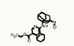 CCOC(=O)c1cnc(NC23CC4CC(CC(N=O)(C4)C2)C3)c2c1C1CCC2CC1